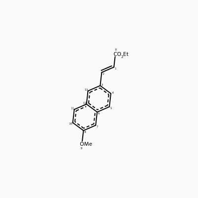 CCOC(=O)C=Cc1ccc2cc(OC)ccc2c1